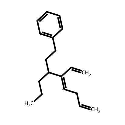 C=CC[C]=C(C=C)C(CCC)CCc1ccccc1